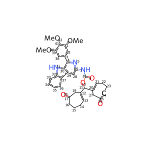 COc1cc(-c2nc(NC(=O)OC(C3=CCCCC(=O)C3)C3=CCCCC(=O)C3)cc3c2[nH]c2ccccc23)cc(OC)c1OC